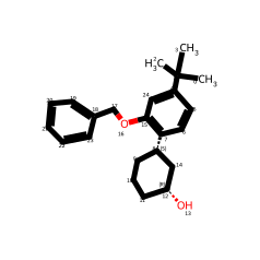 CC(C)(C)c1ccc([C@H]2CCC[C@@H](O)C2)c(OCc2ccccc2)c1